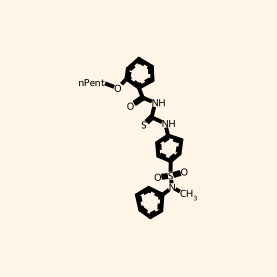 CCCCCOc1ccccc1C(=O)NC(=S)Nc1ccc(S(=O)(=O)N(C)c2ccccc2)cc1